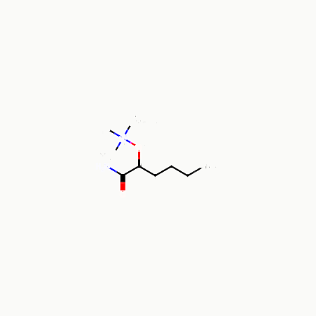 CCCCCCCCCCCCC(O[N+](C)(OC)OC)C(N)=O.[Cl-]